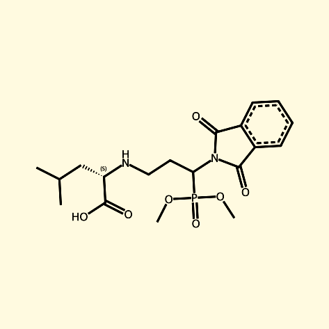 COP(=O)(OC)C(CCN[C@@H](CC(C)C)C(=O)O)N1C(=O)c2ccccc2C1=O